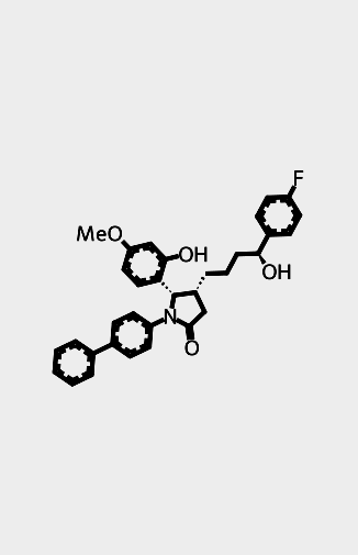 COc1ccc([C@@H]2[C@H](CCC[C@H](O)c3ccc(F)cc3)CC(=O)N2c2ccc(-c3ccccc3)cc2)c(O)c1